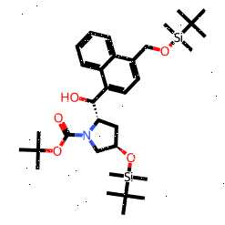 CC(C)(C)OC(=O)N1C[C@H](O[Si](C)(C)C(C)(C)C)C[C@H]1C(O)c1ccc(CO[Si](C)(C)C(C)(C)C)c2ccccc12